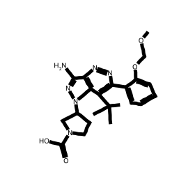 COCOc1ccccc1-c1nnc2c(N)nn(C3CCN(C(=O)O)C3)c2c1C(C)(C)C